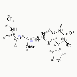 CC[C@@H]1C(=O)N(C)c2cnc(N/C=C(/C=C(\C)C(=O)NCC(F)(F)F)OC)cc2N1C1CCCC1